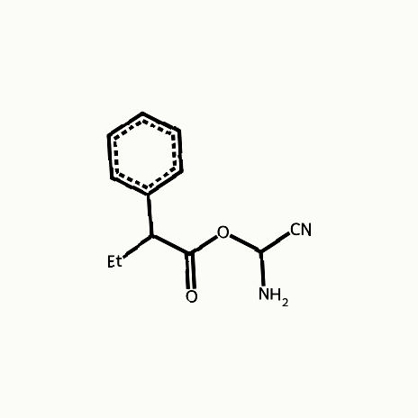 CCC(C(=O)OC(N)C#N)c1ccccc1